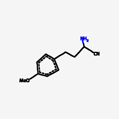 COc1ccc(CCC(N)C#N)cc1